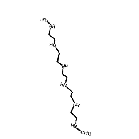 CCCNCCNCCNCCNCCNCCNC=O